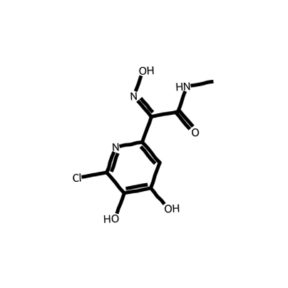 CNC(=O)C(=NO)c1cc(O)c(O)c(Cl)n1